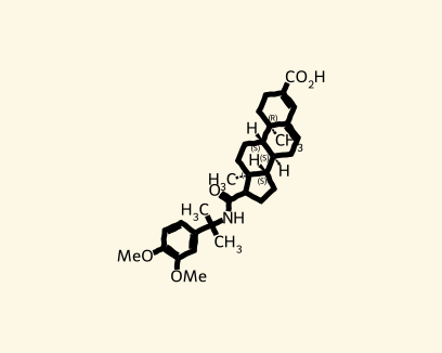 COc1ccc(C(C)(C)NC(=O)C2CC[C@H]3[C@@H]4CC=C5C=C(C(=O)O)CC[C@]5(C)[C@H]4CC[C@]23C)cc1OC